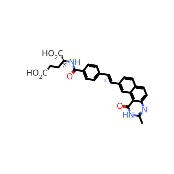 Cc1nc2ccc3ccc(/C=C/c4ccc(C(=O)N[C@@H](CCC(=O)O)C(=O)O)cc4)cc3c2c(=O)[nH]1